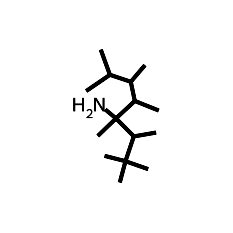 CC(C)C(C)C(C)C(C)(N)C(C)C(C)(C)C